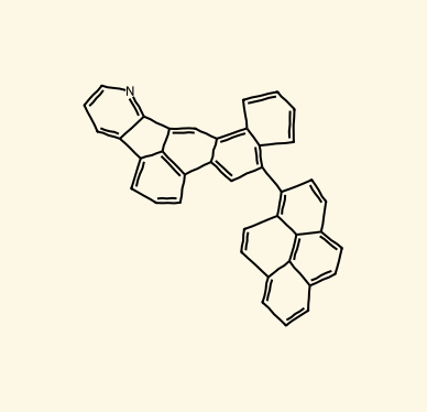 c1cnc2c(c1)-c1cccc3c1c-2cc1c2ccccc2c(-c2ccc4ccc5cccc6ccc2c4c56)cc31